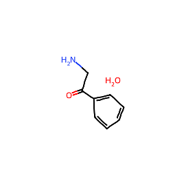 NCC(=O)c1ccccc1.O